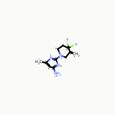 C=C1CN(c2nc(C)cc(N)n2)CCC1(F)F